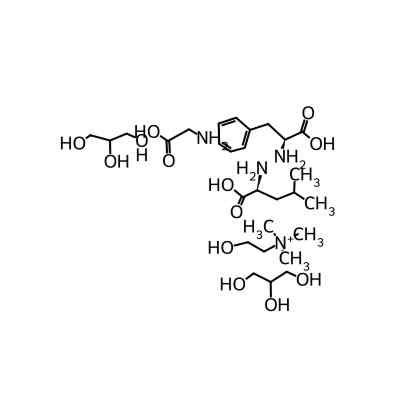 CC(C)C[C@H](N)C(=O)O.C[N+](C)(C)CCO.NCC(=O)O.N[C@@H](Cc1ccccc1)C(=O)O.OCC(O)CO.OCC(O)CO